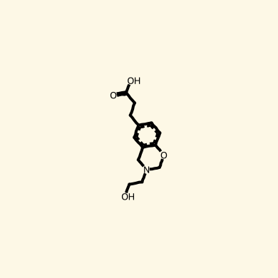 O=C(O)CCc1ccc2c(c1)CN(CCO)CO2